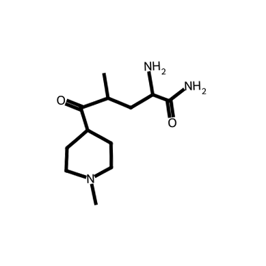 CC(CC(N)C(N)=O)C(=O)C1CCN(C)CC1